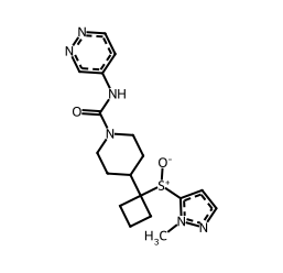 Cn1nccc1[S+]([O-])C1(C2CCN(C(=O)Nc3ccnnc3)CC2)CCC1